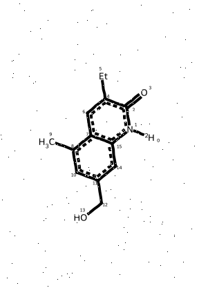 [2H]n1c(=O)c(CC)cc2c(C)cc(CO)cc21